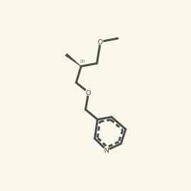 COC[C@H](C)COCc1cccnc1